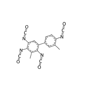 Cc1cc(-c2cc(N=C=O)c(N=C=O)c(C)c2N=C=O)ccc1N=C=O